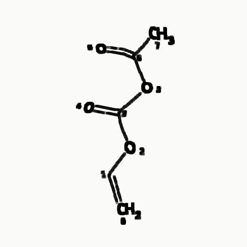 C=COC(=O)OC(C)=O